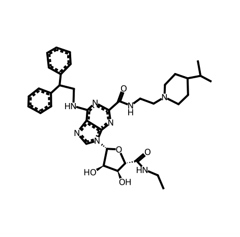 CCNC(=O)[C@H]1O[C@@H](n2cnc3c(NCC(c4ccccc4)c4ccccc4)nc(C(=O)NCCN4CCC(C(C)C)CC4)nc32)[C@H](O)[C@@H]1O